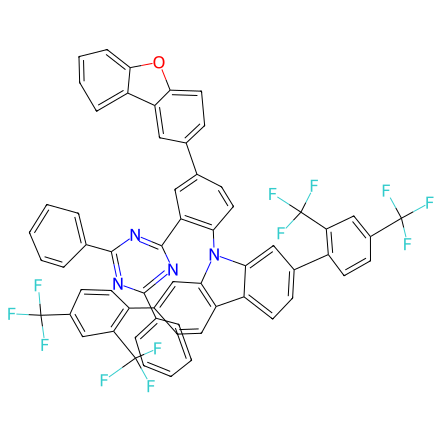 FC(F)(F)c1ccc(-c2ccc3c4ccc(-c5ccc(C(F)(F)F)cc5C(F)(F)F)cc4n(-c4ccc(-c5ccc6oc7ccccc7c6c5)cc4-c4nc(-c5ccccc5)nc(-c5ccccc5)n4)c3c2)c(C(F)(F)F)c1